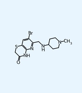 CN1CCC(NCc2nc3c(cc2Br)SCC(=O)N3)CC1